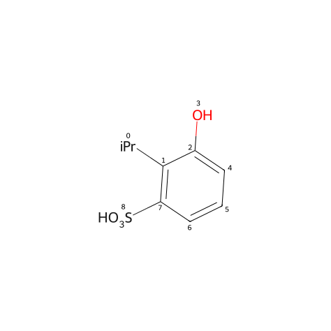 CC(C)c1c(O)cccc1S(=O)(=O)O